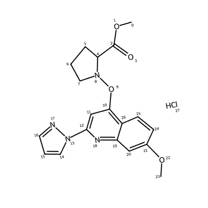 COC(=O)C1CCCN1Oc1cc(-n2cccn2)nc2cc(OC)ccc12.Cl